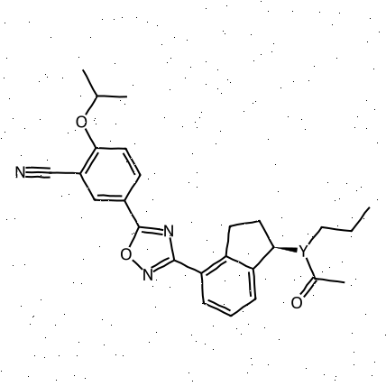 CC[CH2][Y]([C](C)=O)[C@@H]1CCc2c(-c3noc(-c4ccc(OC(C)C)c(C#N)c4)n3)cccc21